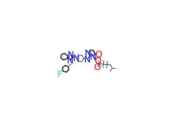 CC(C)CC(C)(C)C(C)(C)C(=O)OCn1c(N(C)C2CCN(c3nc4ccccc4n3Cc3ccc(F)cc3)CC2)nccc1=O